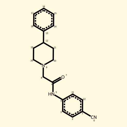 N#Cc1ccc(NC(=O)CN2CCC(c3ccccc3)CC2)cc1